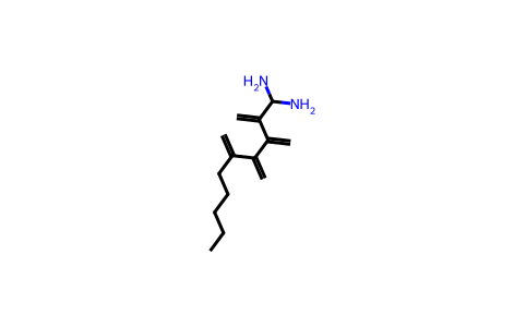 C=C(CCCCC)C(=C)C(=C)C(=C)C(N)N